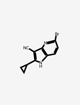 N#Cc1c(C2CC2)[nH]c2ccc(Br)nc12